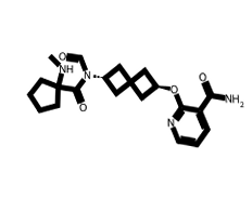 CNC1(C(=O)N(C=O)[C@H]2CC3(C[C@H](Oc4ncccc4C(N)=O)C3)C2)CCCC1